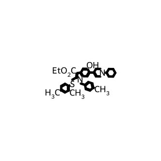 CCOC(=O)c1c(CSc2ccc(C)cc2C)n(Cc2ccc(C)cc2)c2cc(C3=CCN(C4CCCCC4)CC3)c(O)cc12